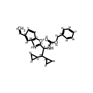 C=Cc1ccc2oc(C(NC(=O)OCc3ccccc3)C(C3CC3)C3CC3)nc2c1